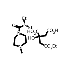 CCN(CC)C(=O)N1CCN(C)CC1.CCOC(=O)CC(O)(CC(=O)O)C(=O)O